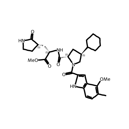 COC(=O)[C@H](C[C@@H]1CCNC1=O)NC(=O)[C@@H]1C[C@@H](C2CCCCC2)CN1C(=O)c1cc2c(OC)c(C)ccc2[nH]1